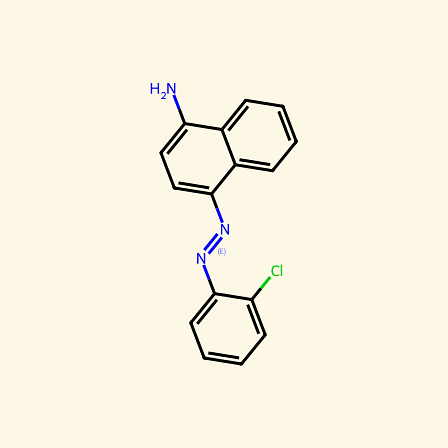 Nc1ccc(/N=N/c2ccccc2Cl)c2ccccc12